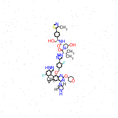 Cc1ncsc1-c1ccc([C@H](CO)NC(=O)[C@@H]2C[C@@H](O)CN2C(=O)[C@H](C(C)C)n2cc(-c3ccc(COc4c(-c5c(C)c(F)cc6[nH]ncc56)c(C5CC5)cc5c(N6C[C@@H]7C[C@H]6CN7)nc(OC6CCOCC6)nc45)cc3F)nn2)cc1